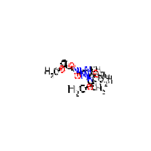 C=CCOc1ccccc1CC(=O)CNC(=O)c1cc2nc(C)c(C(OC(C)(C)C)C(=O)O)c(N3CCC(C)(OCC=C)CC3)n2n1